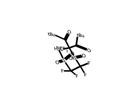 CC(C)(C)C(=O)C(C)(C(=O)C(C)(C)C)S(=O)(=O)C(F)(F)C(F)(F)S(=O)(=O)NC(F)(F)F